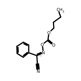 CCCCOC(=O)O/N=C(/C#N)c1ccccc1